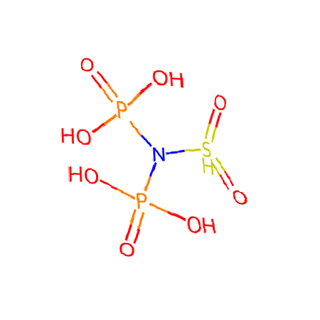 O=[SH](=O)N(P(=O)(O)O)P(=O)(O)O